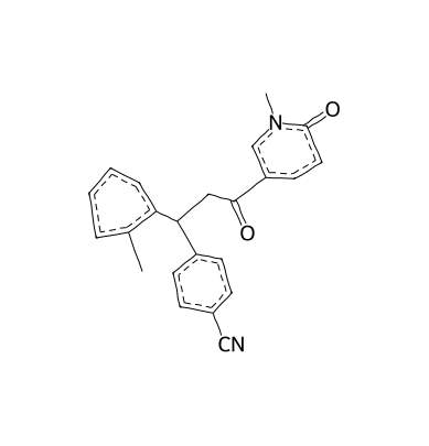 Cc1ccccc1C(CC(=O)c1ccc(=O)n(C)c1)c1ccc(C#N)cc1